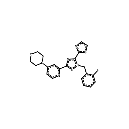 Fc1ccccc1Cn1nc(-c2cc(N3CCOCC3)ccn2)nc1-c1nccs1